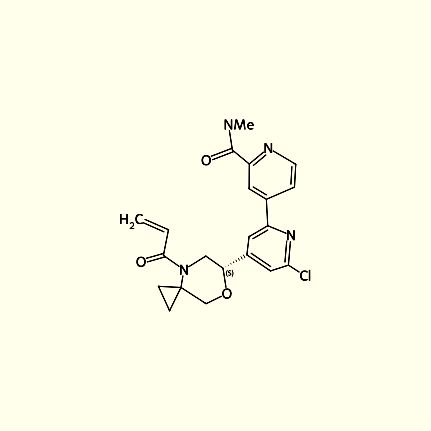 C=CC(=O)N1C[C@H](c2cc(Cl)nc(-c3ccnc(C(=O)NC)c3)c2)OCC12CC2